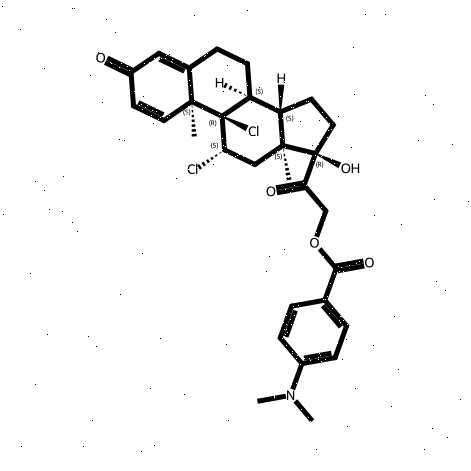 CN(C)c1ccc(C(=O)OCC(=O)[C@@]2(O)CC[C@H]3[C@@H]4CCC5=CC(=O)C=C[C@]5(C)[C@@]4(Cl)[C@@H](Cl)C[C@@]32C)cc1